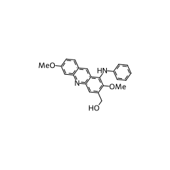 COc1ccc2cc3c(Nc4ccccc4)c(OC)c(CO)cc3nc2c1